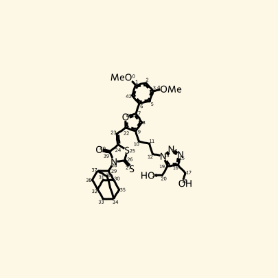 COc1cc(OC)cc(-c2cc(CCCn3nnc(CO)c3CO)c(/C=C3\SC(=S)N(C4C5CC6CC(C5)CC4C6)C3=O)o2)c1